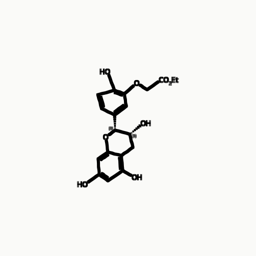 CCOC(=O)COc1cc([C@H]2Oc3cc(O)cc(O)c3C[C@H]2O)ccc1O